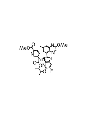 COC(=O)c1ccc(NC(=O)O[C@H](C)[C@H](C)Oc2nc3sc(-c4cc(C)cc5nc(OC)cnc45)nc3cc2F)cn1